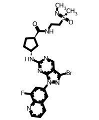 CN=S(C)(=O)CCNC(=O)[C@@H]1CC[C@@H](Nc2ncc3c(Br)nn(-c4cc(F)c5ncccc5c4)c3n2)C1